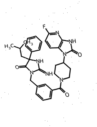 CC(C)CC1(c2ccccc2)NC(=N)N(Cc2cccc(C(=O)N3CCC(n4c(=O)[nH]c5nc(F)ccc54)CC3)c2)C1=O